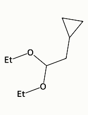 CCOC(CC1CC1)OCC